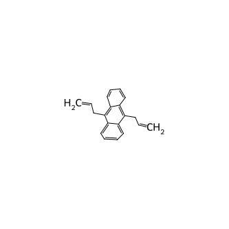 C=CCc1c2ccccc2c(CC=C)c2ccccc12